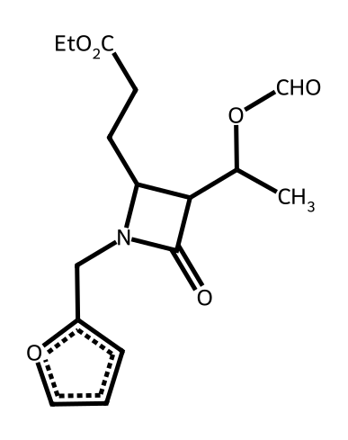 CCOC(=O)CCC1C(C(C)OC=O)C(=O)N1Cc1ccco1